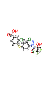 CC(O)(C(=O)Nc1ccc(Sc2ccc(C(=O)O)cc2)c(Cl)c1Cl)C(F)(F)F